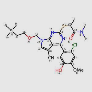 COc1cc(Cl)c(-c2nc(SC(C)C(=O)N(C)C)nc3c2c(C#N)cn3COCC[Si](C)(C)C)cc1O